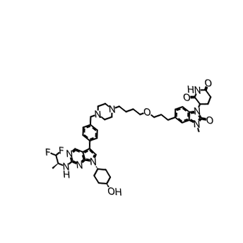 C[C@H](Nc1ncc2c(-c3ccc(CN4CCN(CCCCOCCCc5ccc6c(c5)n(C)c(=O)n6C5CCC(=O)NC5=O)CC4)cc3)cn([C@H]3CC[C@H](O)CC3)c2n1)C(F)F